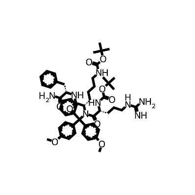 COc1ccc(C(c2ccccc2)(c2ccc(OC)cc2)N(C(=O)[C@@H](CCCNC(=N)N)NC(=O)OC(C)(C)C)[C@@H](CCCCNC(=O)OC(C)(C)C)C(=O)N[C@@H](Cc2ccccc2)C(N)=O)cc1